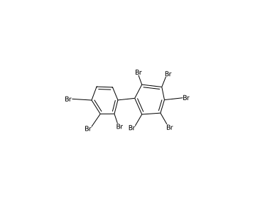 Brc1ccc(-c2c(Br)c(Br)c(Br)c(Br)c2Br)c(Br)c1Br